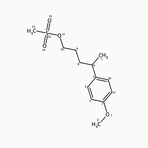 COc1ccc(C(C)CCCOS(C)(=O)=O)cc1